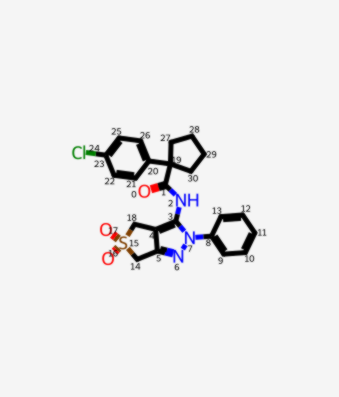 O=C(Nc1c2c(nn1-c1ccccc1)CS(=O)(=O)C2)C1(c2ccc(Cl)cc2)CCCC1